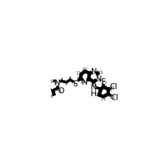 C=CC(=O)N(C)CCCSc1ccc2ncnc(Nc3ccc(Cl)c(Cl)c3F)c2n1